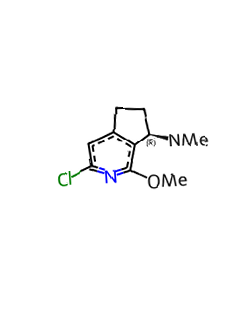 CN[C@@H]1CCc2cc(Cl)nc(OC)c21